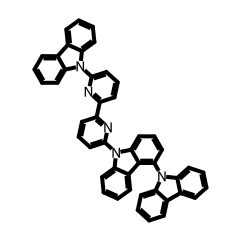 c1cc(-c2cccc(-n3c4ccccc4c4c(-n5c6ccccc6c6ccccc65)cccc43)n2)nc(-n2c3ccccc3c3ccccc32)c1